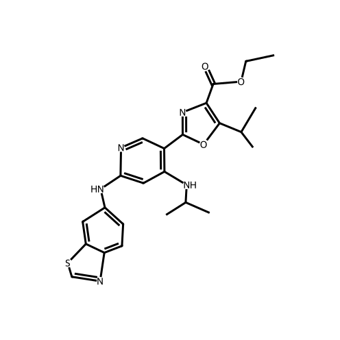 CCOC(=O)c1nc(-c2cnc(Nc3ccc4ncsc4c3)cc2NC(C)C)oc1C(C)C